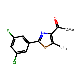 COC(=O)c1nc(-c2cc(F)cc(Cl)c2)sc1C